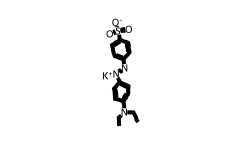 CCN(CC)c1ccc(N=Nc2ccc(S(=O)(=O)[O-])cc2)cc1.[K+]